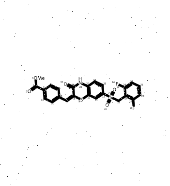 COC(=O)c1ccc(C=C2Sc3cc(S(=O)(=O)Cc4c(F)cccc4F)ccc3NC2=O)cc1